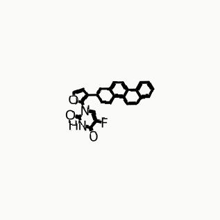 O=c1[nH]c(=O)n(-c2occc2C2CCc3c(ccc4c3ccc3ccccc34)C2)cc1F